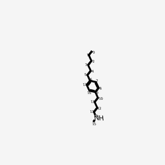 CCCCCCc1ccc(CCCCNC)cc1